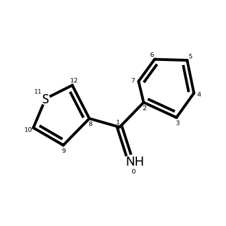 N=C(c1ccccc1)c1ccsc1